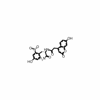 NC(=O)[C@H](Cc1ccc(O)cc1[N+](=O)[O-])NC(=O)Cc1cc(=O)oc2cc(O)ccc12